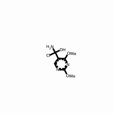 COc1ncc(C(N)(O)Cl)c(OC)n1